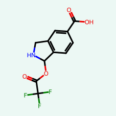 O=C(O)c1ccc2c(c1)CNC2OC(=O)C(F)(F)F